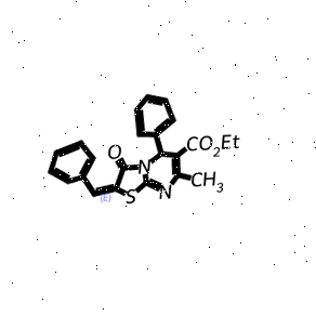 CCOC(=O)C1=C(C)N=c2s/c(=C/c3ccccc3)c(=O)n2C1c1ccccc1